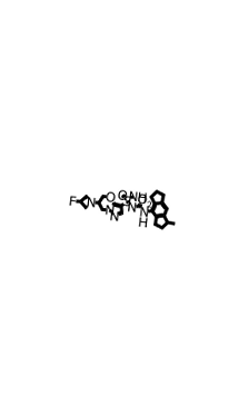 CC1CCc2c1cc1c(c2NC(=O)N=S(N)(=O)c2cnn3c2OCC(N2CC(F)C2)C3)CCC1